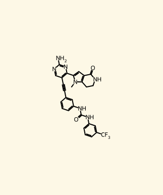 Cn1c(-c2nc(N)ncc2C#Cc2cccc(NC(=O)Nc3cccc(C(F)(F)F)c3)c2)cc2c1CCNC2=O